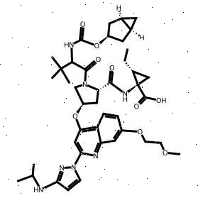 CC[C@@H]1C[C@]1(NC(=O)[C@@H]1C[C@@H](Oc2cc(-n3ccc(NC(C)C)n3)nc3cc(OCCOC)ccc23)CN1C(=O)C(NC(=O)O[C@@H]1C[C@@H]2C[C@@H]2C1)C(C)(C)C)C(=O)O